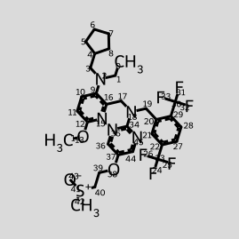 CCN(CC1CCCC1)c1ccc(OC)nc1CN(Cc1cc(C(F)(F)F)ccc1C(F)(F)F)c1ncc(OCC[S+](C)[O-])cn1